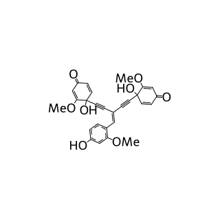 COC1=CC(=O)C=CC1(O)C#CC(C#CC1(O)C=CC(=O)C=C1OC)=Cc1ccc(O)cc1OC